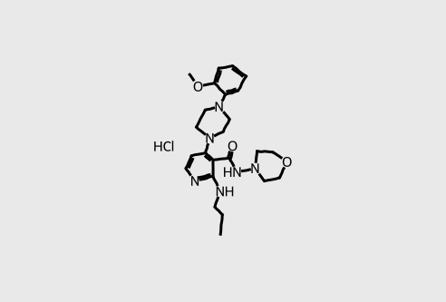 CCCNc1nccc(N2CCN(c3ccccc3OC)CC2)c1C(=O)NN1CCOCC1.Cl